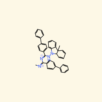 C/N=C(\N=C(/NN1c2ccccc2C2(C)C=CC=CC12)c1ccc(-c2ccccc2)cc1)c1ccc(-c2ccccc2)cc1